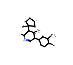 CCC1(C2C(C)N=CC(C3CCC(C(C)=O)C(C)C3)C2C)CCCC1